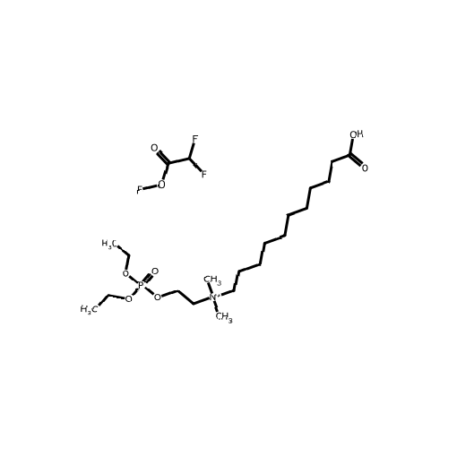 CCOP(=O)(OCC)OCC[N+](C)(C)CCCCCCCCCCC(=O)O.O=C(OF)C(F)F